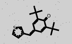 CC(C)(C)C1=CC(=Cc2ccsc2)C=C(C(C)(C)C)C1=O